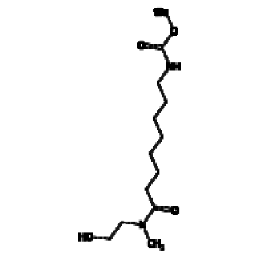 CN(CCO)C(=O)CCCCCCCNC(=O)OC(C)(C)C